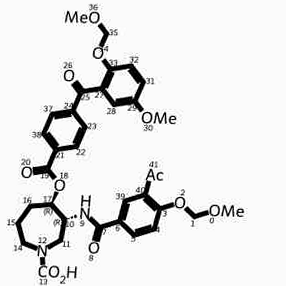 COCOc1ccc(C(=O)N[C@@H]2CN(C(=O)O)CCC[C@H]2OC(=O)c2ccc(C(=O)c3cc(OC)ccc3OCOC)cc2)cc1C(C)=O